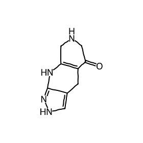 O=C1CNCC2=C1Cc1c[nH]nc1N2